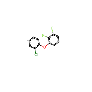 Fc1cccc(Oc2cc[c]cc2Cl)c1F